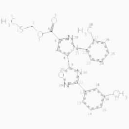 CSCOC(=O)c1cc(-c2nc(-c3cccc(C)c3)no2)n(-c2ccccc2C)n1